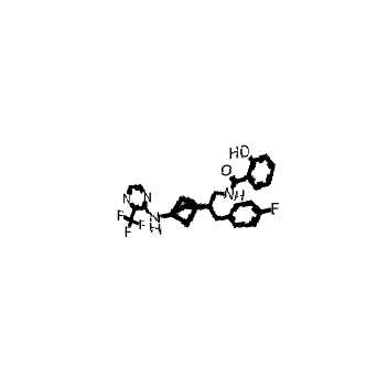 O=C(NCC(Cc1ccc(F)cc1)C12CC(Nc3nccnc3C(F)(F)F)(C1)C2)c1ccccc1O